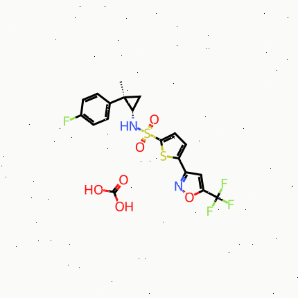 C[C@]1(c2ccc(F)cc2)C[C@@H]1NS(=O)(=O)c1ccc(-c2cc(C(F)(F)F)on2)s1.O=C(O)O